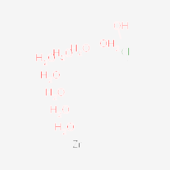 O.O.O.O.O.O.O.O.OCl.[Zr]